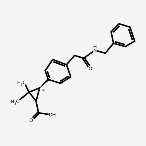 CC1(C)C(C(=O)O)[C@@H]1c1ccc(CC(=O)NCc2ccccc2)cc1